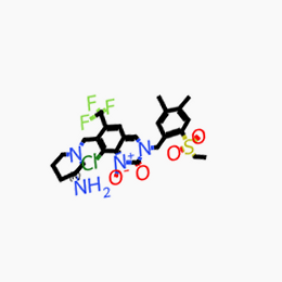 CCS(=O)(=O)c1cc(C)c(C)cc1Cn1cc2cc(C(F)(F)F)c(CN3CCC[C@@H](N)C3)c(Cl)c2[n+]([O-])c1=O